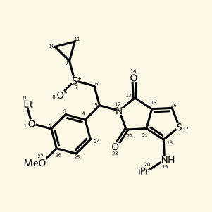 CCOc1cc(C(C[S+]([O-])C2CC2)N2C(=O)c3csc(NC(C)C)c3C2=O)ccc1OC